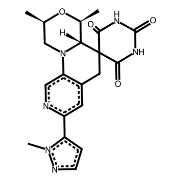 C[C@@H]1CN2c3cnc(-c4ccnn4C)cc3CC3(C(=O)NC(=O)NC3=O)[C@H]2[C@H](C)O1